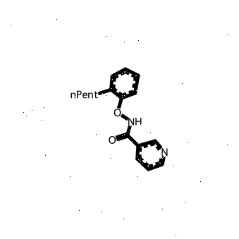 CCCCCc1ccccc1ONC(=O)c1cccnc1